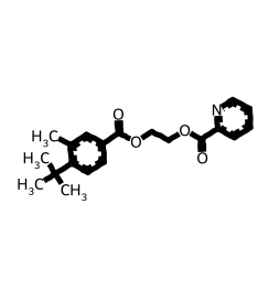 Cc1cc(C(=O)OCCOC(=O)c2ccccn2)ccc1C(C)(C)C